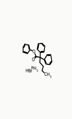 Br.CCCCC(C(=O)Oc1ccccc1)(c1ccccc1)c1ccccc1.P